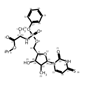 CC(C)OC(=O)[C@H](C)NP(=O)(OC[C@H]1O[C@@H](n2ccc(=S)[nH]c2=O)C(C)[C@H]1O)Oc1ccccc1